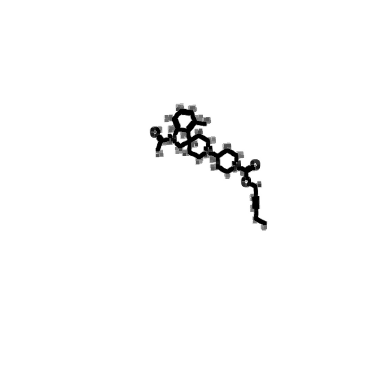 CCC#CCOC(=O)N1CCC(N2CCC3(CC2)CN(C(C)=O)c2cccc(C)c23)CC1